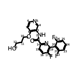 O=C(Nc1cnccc1OCCCO)c1ccc(F)c(-c2c(F)cccc2F)n1